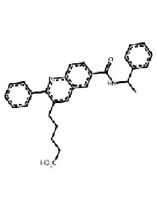 CC(NC(=O)c1ccc2nc(-c3ccccc3)c(CCCCC(=O)O)cc2c1)c1ccccc1